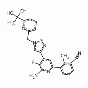 Cc1c(C#N)cccc1-c1cc(-c2cn(Cc3cccc(C(C)(C)O)n3)nn2)c(F)c(N)n1